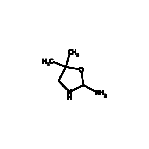 CC1(C)CNC(N)O1